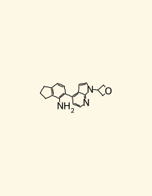 Nc1c(-c2ccnc3c2ccn3C2COC2)ccc2c1CCC2